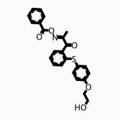 C/C(=N\OC(=O)c1ccccc1)C(=O)c1ccccc1Sc1ccc(OCCO)cc1